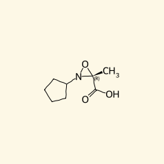 C[C@]1(C(=O)O)ON1C1CCCC1